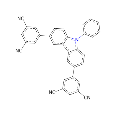 N#Cc1cc(C#N)cc(-c2ccc3c(c2)c2cc(-c4cc(C#N)cc(C#N)c4)ccc2n3-c2ccccc2)c1